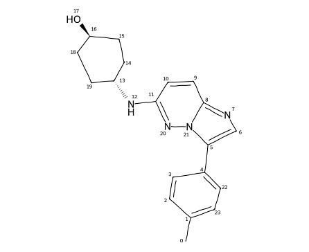 Cc1ccc(-c2cnc3ccc(N[C@H]4CC[C@H](O)CC4)nn23)cc1